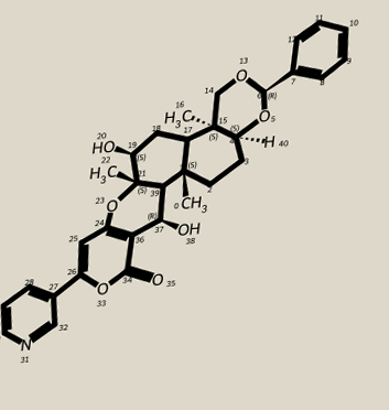 C[C@]12CC[C@@H]3O[C@H](c4ccccc4)OC[C@]3(C)C1C[C@H](O)[C@@]1(C)Oc3cc(-c4cccnc4)oc(=O)c3[C@H](O)C21